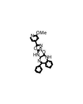 COc1cc(-c2nnc(N[C@H]3N=C(c4ccccc4)c4ccccc4NC3=O)o2)ccn1